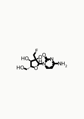 Nc1ccn(C2O[C@H](CO)[C@@H](O)[C@]2(O)CF)c(=O)n1